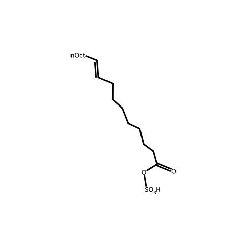 CCCCCCCCC=CCCCCCCCC(=O)OS(=O)(=O)O